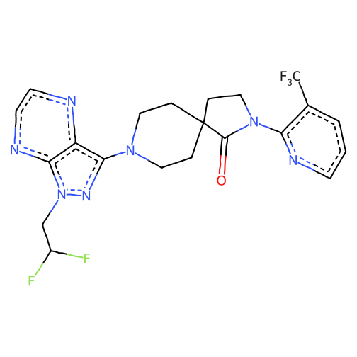 O=C1N(c2ncccc2C(F)(F)F)CCC12CCN(c1nn(CC(F)F)c3nccnc13)CC2